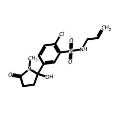 C=CCNS(=O)(=O)c1cc(C2(O)CCC(=O)N2C)ccc1Cl